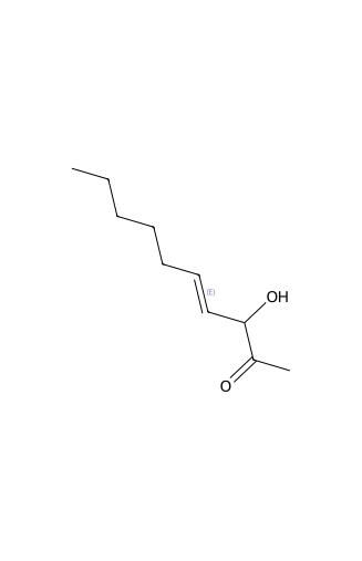 CCCCC/C=C/C(O)C(C)=O